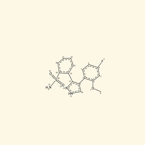 COc1cc(F)ccc1-c1c[nH]nc1-c1ccccc1S(N)(=O)=O